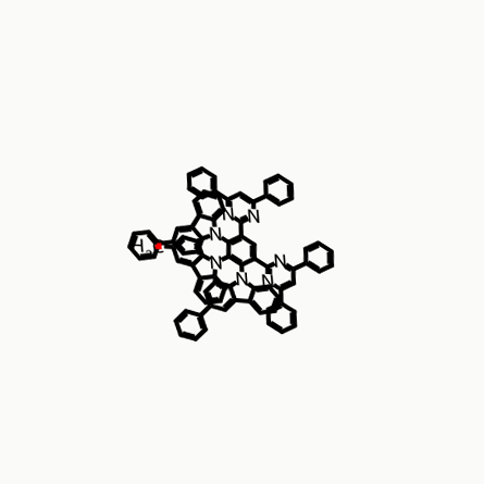 Cc1ccc2c(c1)c1ccccc1n2-c1c(-n2c3ccccc3c3cc(-c4ccccc4)ccc32)c(-c2nc(-c3ccccc3)cc(-c3ccccc3)n2)cc(-c2nc(-c3ccccc3)cc(-c3ccccc3)n2)c1-n1c2ccccc2c2cc(-c3ccccc3)ccc21